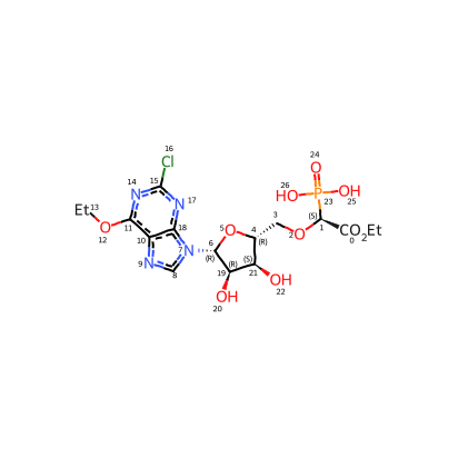 CCOC(=O)[C@@H](OC[C@H]1O[C@@H](n2cnc3c(OCC)nc(Cl)nc32)[C@H](O)[C@@H]1O)P(=O)(O)O